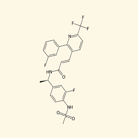 C[C@@H](NC(=O)/C=C/c1ccc(C(F)(F)F)nc1-c1cccc(F)c1)c1ccc(NS(C)(=O)=O)c(F)c1